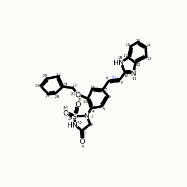 O=C1CN(c2ccc(/C=C/c3nc4ccccc4[nH]3)cc2OCc2ccccc2)S(=O)(=O)N1